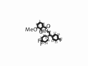 COC1C=CC=C(C(=O)NCC(c2ccc(F)cc2)N2CCC(F)(F)CC2)C1=O